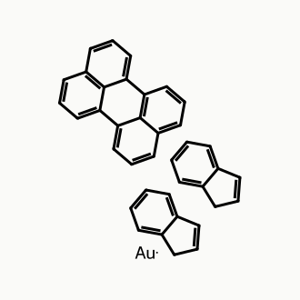 C1=Cc2ccccc2C1.C1=Cc2ccccc2C1.[Au].c1cc2cccc3c4cccc5cccc(c(c1)c23)c54